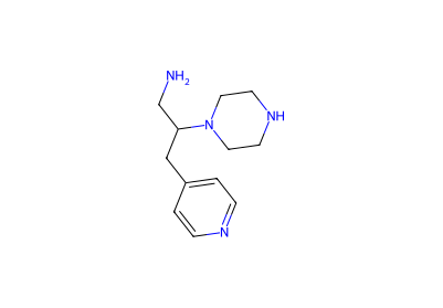 NCC(Cc1ccncc1)N1CCNCC1